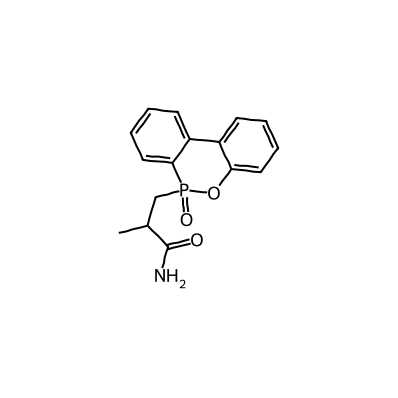 CC(CP1(=O)Oc2ccccc2-c2ccccc21)C(N)=O